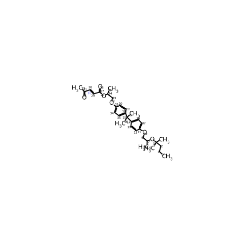 CCCC(C)(C)OC(C)COc1ccc(C(C)(C)c2ccc(OCC(C)OC(=O)/C=C/C(C)=O)cc2)cc1